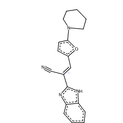 N#C/C(=C\c1ccc(N2CCCCC2)o1)c1nc2ccccc2[nH]1